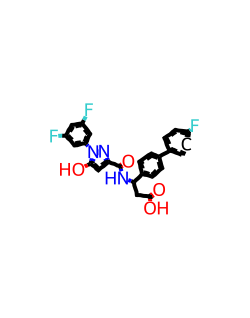 O=C(O)CC(NC(=O)c1cc(O)n(-c2cc(F)cc(F)c2)n1)c1ccc(-c2ccc(F)cc2)cc1